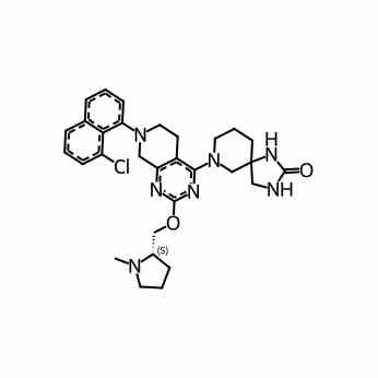 CN1CCC[C@H]1COc1nc2c(c(N3CCCC4(CNC(=O)N4)C3)n1)CCN(c1cccc3cccc(Cl)c13)C2